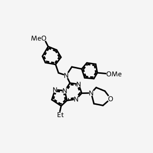 CCc1cnn2c(N(Cc3ccc(OC)cc3)Cc3ccc(OC)cc3)nc(N3CCOCC3)nc12